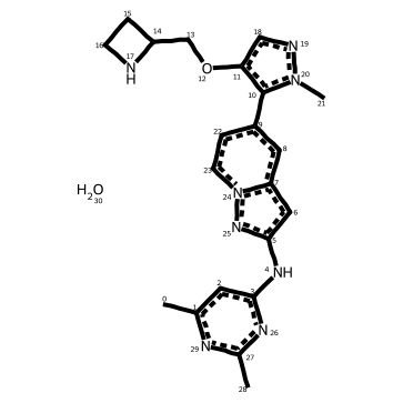 Cc1cc(Nc2cc3cc(-c4c(OCC5CCN5)cnn4C)ccn3n2)nc(C)n1.O